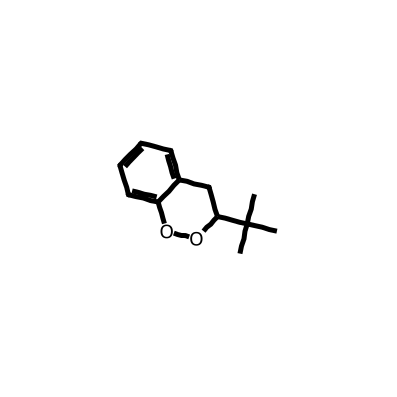 CC(C)(C)C1Cc2ccccc2OO1